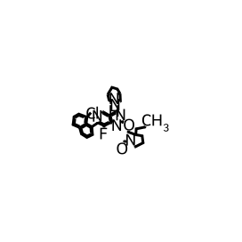 CCCC1(COc2nc(N3CC4CCC(C3)N4)c3cnc(-c4cccc5cccc(Cl)c45)c(F)c3n2)CCCN1C=O